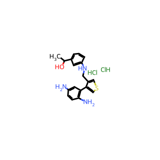 CC(O)c1cccc(NCc2cscc2-c2cc(N)ccc2N)c1.Cl.Cl